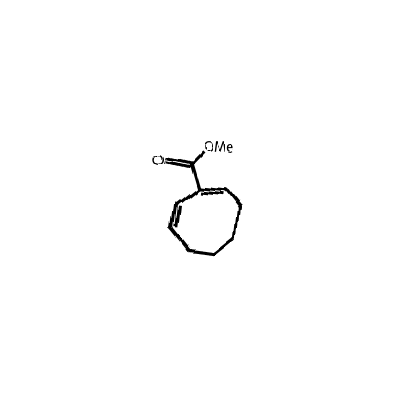 COC(=O)C1=CCCCCC=C1